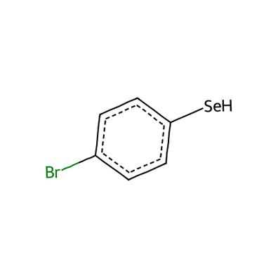 [SeH]c1ccc(Br)cc1